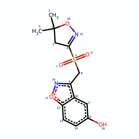 CC1(C)CC(S(=O)(=O)Cc2noc3ccc(O)cc23)=NO1